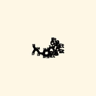 CCOP(=O)(OCC)C(Cc1cccc(CC=C(C)C)c1)P(=O)(OCC)OCC